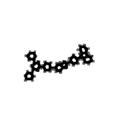 c1ccc(-c2nc(-c3ccccc3)nc(-c3ccc(-c4ccc5oc(-c6ccc(-n7c8ccccc8c8ccccc87)cc6)nc5c4)cc3)n2)cc1